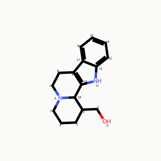 OCC1CCCN2CCc3c([nH]c4ccccc34)C12